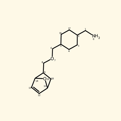 NCC1CCC(COCC2CC3C=CC2O3)CC1